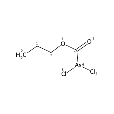 CCCOC(=O)[As](Cl)Cl